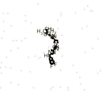 CC(C)(C)C(=O)OCn1cc(C2CCN(c3nnc(-c4cnc(NC5Cc6cc(F)c(F)cc6C5)cn4)o3)C2)nn1